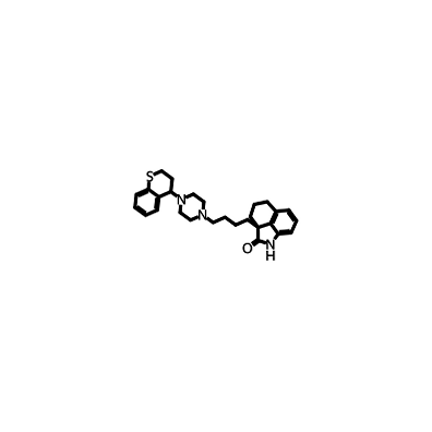 O=C1Nc2cccc3c2C1(CCCCN1CCN(C2CCSc4ccccc42)CC1)CCC3